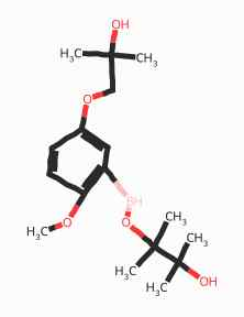 COc1ccc(OCC(C)(C)O)cc1BOC(C)(C)C(C)(C)O